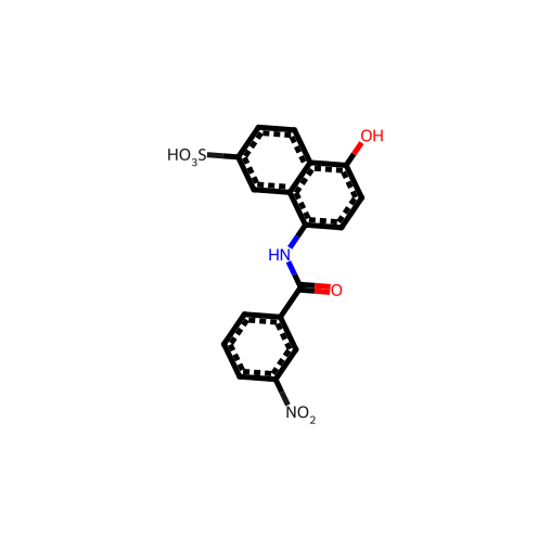 O=C(Nc1ccc(O)c2ccc(S(=O)(=O)O)cc12)c1cccc([N+](=O)[O-])c1